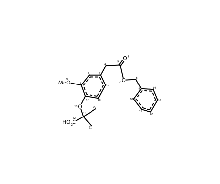 COc1cc(CC(=O)OCc2ccccc2)ccc1OC(C)(C)C(=O)O